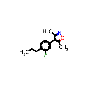 CCCc1ccc(-c2c(C)noc2C)cc1Cl